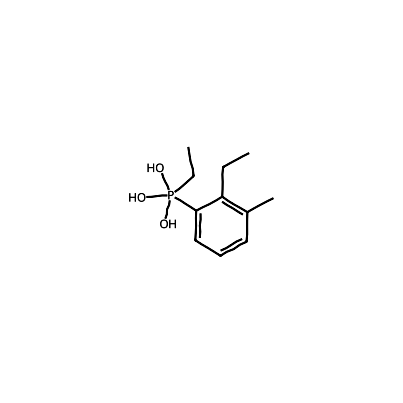 CCc1c(C)cccc1P(O)(O)(O)CC